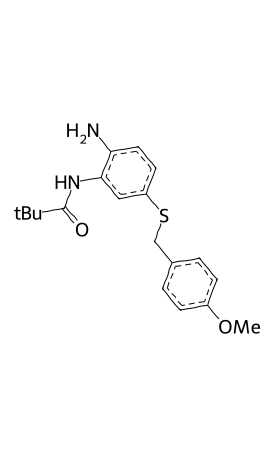 COc1ccc(CSc2ccc(N)c(NC(=O)C(C)(C)C)c2)cc1